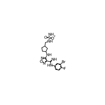 N=C(Nc1ccc(F)c(Br)c1)c1nonc1NC1CCC(CNS(N)(=O)=O)C1